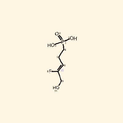 O=P(O)(O)CC/C=C(\F)CO